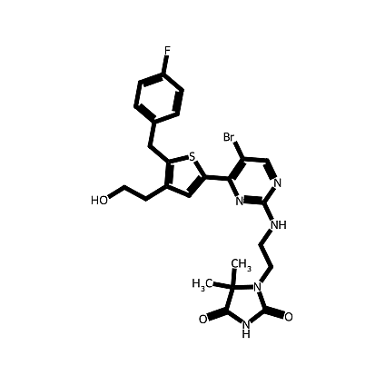 CC1(C)C(=O)NC(=O)N1CCNc1ncc(Br)c(-c2cc(CCO)c(Cc3ccc(F)cc3)s2)n1